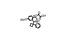 COc1ccc2c(c1)C(C1(c3ccccn3)CCC1)NCC2.O=C(O)C(=O)O